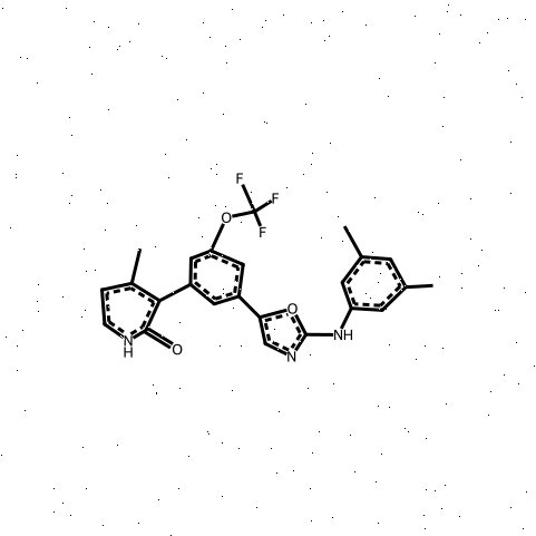 Cc1cc(C)cc(Nc2ncc(-c3cc(OC(F)(F)F)cc(-c4c(C)cc[nH]c4=O)c3)o2)c1